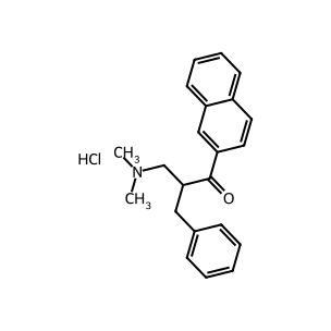 CN(C)CC(Cc1ccccc1)C(=O)c1ccc2ccccc2c1.Cl